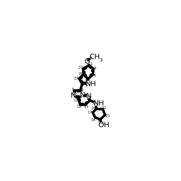 COc1ccc2[nH]c(-c3cnc4ccc(NC5CCC(O)CC5)nn34)cc2c1